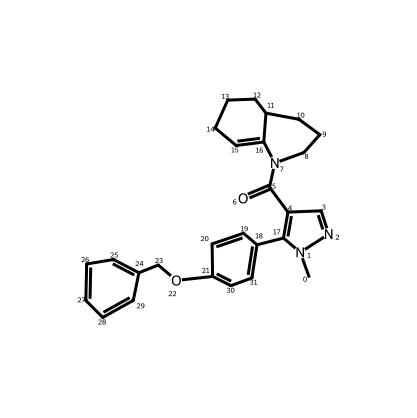 Cn1ncc(C(=O)N2CCCC3CCCC=C32)c1-c1ccc(OCc2ccccc2)cc1